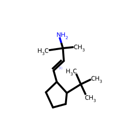 CC(C)(N)/C=C/C1CCCC1C(C)(C)C